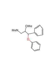 CNCC(OC)C(Oc1ccccc1)c1ccccc1